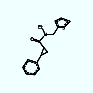 CCN(Cc1cccs1)C(=O)C1CC1c1ccccc1